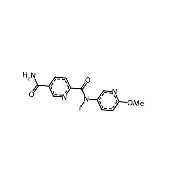 COc1ccc(N(I)C(=O)c2ccc(C(N)=O)cn2)cn1